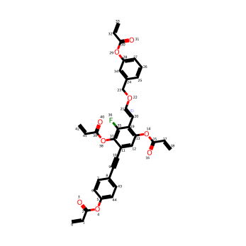 C=CC(=O)Oc1ccc(C#Cc2cc(OC(=O)C=C)c(/C=C/OCc3cccc(OC(=O)C=C)c3)c(F)c2OC(=O)C=C)cc1